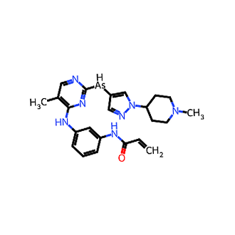 C=CC(=O)Nc1cccc(Nc2nc([AsH]c3cnn(C4CCN(C)CC4)c3)ncc2C)c1